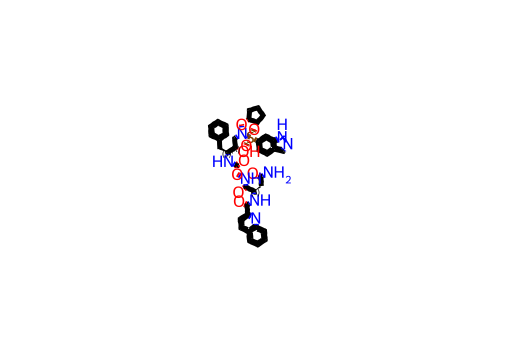 NC(=O)C[C@H](NC(=O)c1ccc2ccccc2n1)C(=O)NOC(=O)N[C@@H](Cc1ccccc1)[C@H](O)CN(OC1CCCC1)S(=O)(=O)c1ccc2cn[nH]c2c1